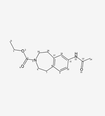 CCOC(=O)N1CCc2ccc(NC(C)=O)cc2CC1